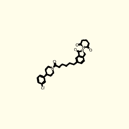 O=C(CCCCCc1ccc2c(c1)C(=O)N(N1C(=O)CCCC1=O)C2)N1CCC(c2cccc(Cl)c2)CC1